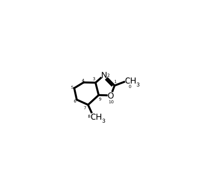 CC1=NC2CCCC(C)C2O1